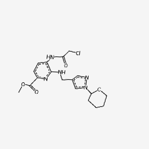 COC(=O)c1ccc(NC(=O)CCl)c(NCc2cnn(C3CCCCO3)c2)n1